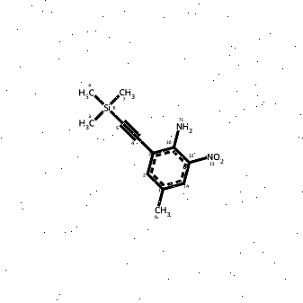 Cc1cc(C#C[Si](C)(C)C)c(N)c([N+](=O)[O-])c1